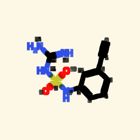 C#Cc1cccc(NS(=O)(=O)NC(=N)N)c1